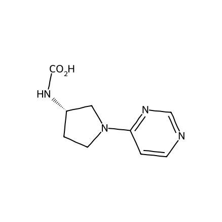 O=C(O)N[C@H]1CCN(c2ccncn2)C1